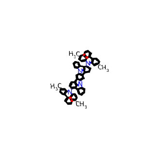 Cc1ccc(N(c2cc(C)ccc2-c2ccccc2)c2ccc3c4cc5c(cc4n4c6ccccc6c2c34)c2ccc(N(c3ccc(C)cc3)c3cc(C)ccc3-c3ccccc3)c3c4ccccc4n5c23)cc1